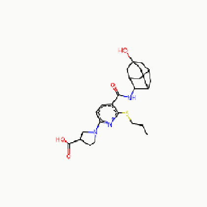 CCCSc1nc(N2CCC(C(=O)O)C2)ccc1C(=O)NC1C2CC3CC1CC(O)(C3)C2